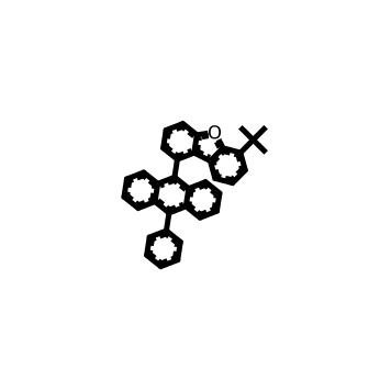 CC(C)(C)c1cccc2c1oc1cccc(-c3c4ccccc4c(-c4ccccc4)c4ccccc34)c12